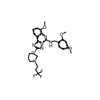 COc1ccc(CNc2nc3c(OC)cccc3c3nc([C@@H]4CCCN(CCC(F)(F)F)C4)nn23)c(OC)c1